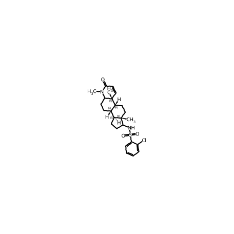 CN1C(=O)C=C[C@@]2(C)C1CC[C@@H]1[C@H]2CC[C@]2(C)C(NS(=O)(=O)c3ccccc3Cl)CC[C@@H]12